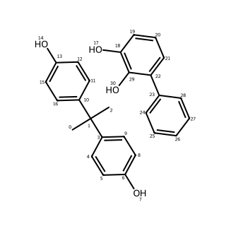 CC(C)(c1ccc(O)cc1)c1ccc(O)cc1.Oc1cccc(-c2ccccc2)c1O